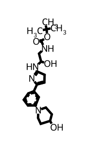 CC(C)(C)OC(=O)NCC(O)NC1=NC(c2cccc(N3CCC(O)CC3)c2)=CC1